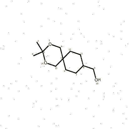 CC1(C)OCC2(CCC(CO)CC2)CO1